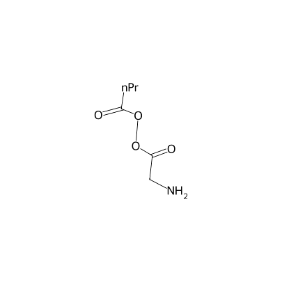 CCCC(=O)OOC(=O)CN